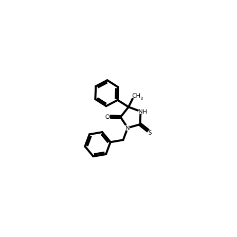 CC1(c2ccccc2)NC(=S)N(Cc2ccccc2)C1=O